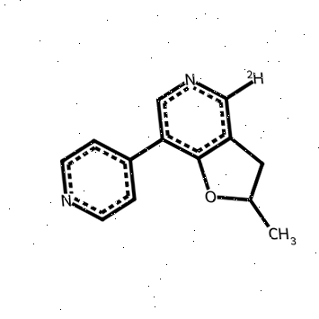 [2H]c1ncc(-c2ccncc2)c2c1CC(C)O2